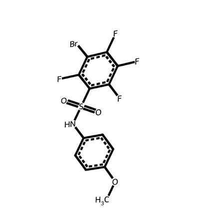 COc1ccc(NS(=O)(=O)c2c(F)c(F)c(F)c(Br)c2F)cc1